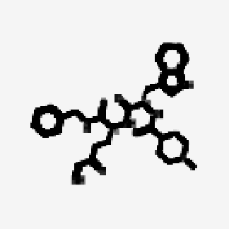 CN1CCC(C(=O)N[C@@H](Cc2c[nH]c3ccccc23)C(=O)N[C@@H](CCC(=O)C=N)C(=O)NCc2ccccc2)CC1